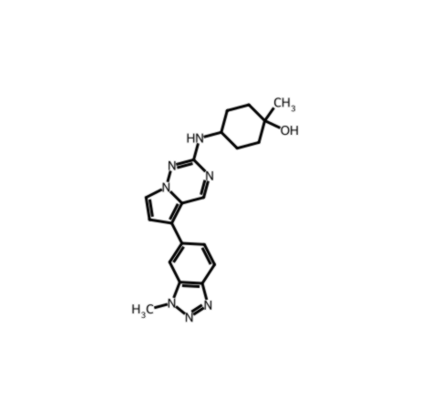 Cn1nnc2ccc(-c3ccn4nc(NC5CCC(C)(O)CC5)ncc34)cc21